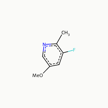 COc1cnc(C)c(F)c1